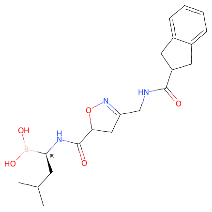 CC(C)C[C@H](NC(=O)C1CC(CNC(=O)C2Cc3ccccc3C2)=NO1)B(O)O